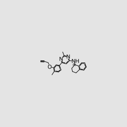 C#CCOc1cc(-c2cc(N[C@@H]3CCCc4ccccc43)nc(C)n2)ccc1C